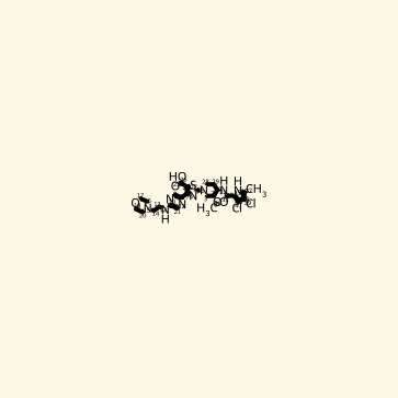 CO[C@H]1CN(c2nc(-c3cnc(NCCN4CCOCC4)cn3)c(C(=O)O)s2)CC[C@H]1NC(=O)c1[nH]c(C)c(Cl)c1Cl